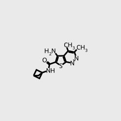 Cc1nnc2sc(C(=O)NC34CC(C3)C4)c(N)c2c1C